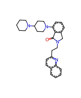 O=C1c2c(cccc2N2CCC(N3CCCCC3)CC2)CN1CCc1ccc2ccccc2n1